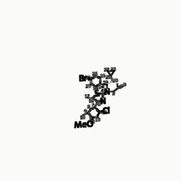 C#CCN(c1nc(-c2cc(C)c(OC)cc2Cl)c(C)s1)[C@@H](CC1CC1)c1ccc(Br)cc1